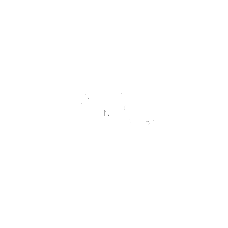 C=C(C(C)C)N(CCN)Cc1ccc(Br)s1